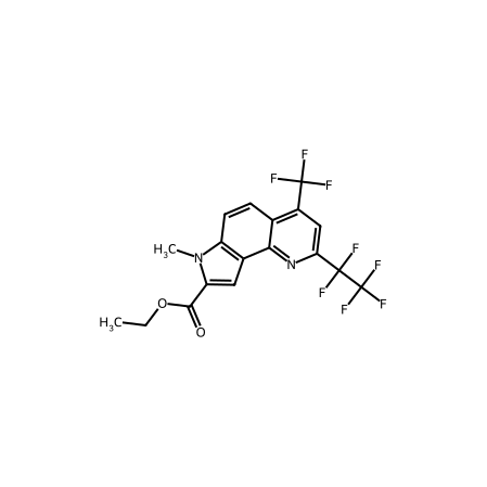 CCOC(=O)c1cc2c3nc(C(F)(F)C(F)(F)F)cc(C(F)(F)F)c3ccc2n1C